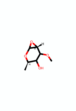 COC1C(O)[C@@H](C)OC2O[C@@H]21